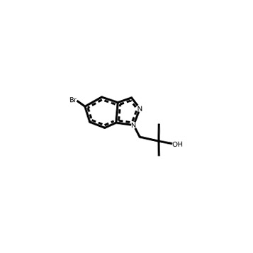 CC(C)(O)Cn1ncc2cc(Br)ccc21